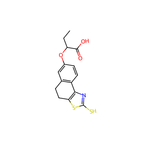 CCC(Oc1ccc2c(c1)CCc1sc(S)nc1-2)C(=O)O